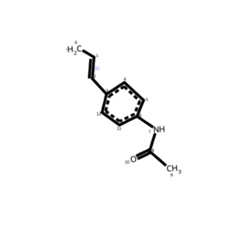 [CH2]/C=C/c1ccc(NC(C)=O)cc1